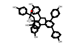 CC(C)(CC(C)(CC(Cc1c(-c2ccc(O)cc2)cc(-c2ccc(O)cc2)cc1-c1ccc(O)cc1)c1ccc(O)cc1)c1ccc(O)cc1)c1ccc(O)cc1